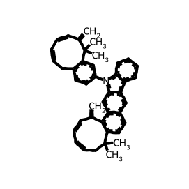 C=C1/C=C\C=C/CC(C)(C)c2ccc3cc4c5ccccc5n(-c5ccc6c(c5)C(C)(C)C(=C)/C=C\C=C/C6)c4cc3c21